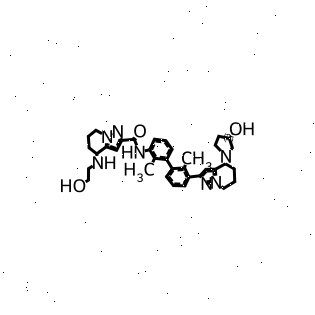 Cc1c(NC(=O)c2cc3n(n2)CCCC3NCCO)cccc1-c1cccc(-c2cc3n(n2)CCCC3N2CC[C@@H](O)C2)c1C